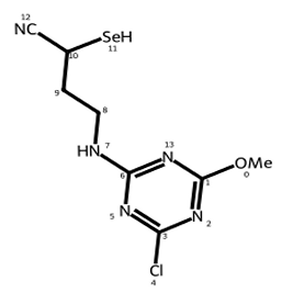 COc1nc(Cl)nc(NCCC([SeH])C#N)n1